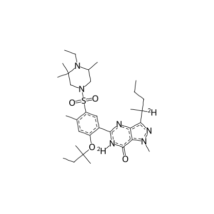 [2H]n1c(-c2cc(S(=O)(=O)N3CC(C)N(CC)C(C)(C)C3)c(C)cc2OC(C)(C)CC)nc2c(C([2H])(C)CCC)nn(C)c2c1=O